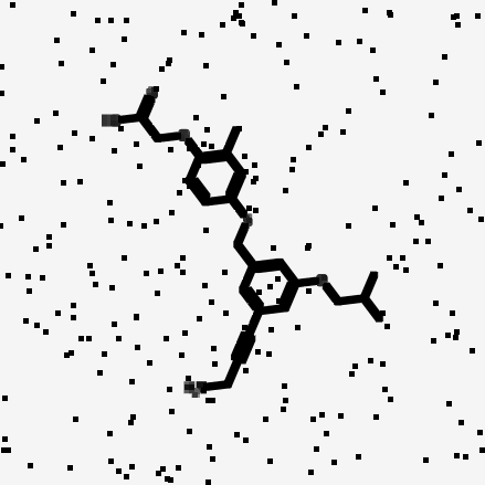 Cc1cc(SCc2cc(C#CCN)cc(OCC(C)C)c2)ccc1OCC(=O)O